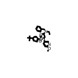 CCN(Cc1ccccc1)C(=O)CN(c1ccc(OC)nc1)S(=O)(=O)c1ccc(C(C)(C)C)cc1